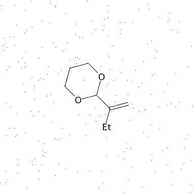 C=C(CC)C1OCCCO1